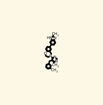 Cc1cccc(Cc2c(C)ncnc2N2CCOc3ccc(-c4ccc5nc(C)[nH]c5c4)cc3C2)c1